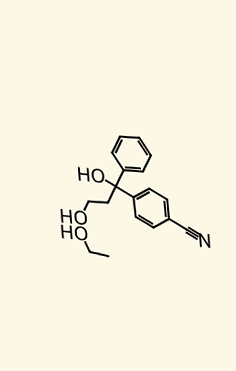 CCO.N#Cc1ccc(C(O)(CCO)c2ccccc2)cc1